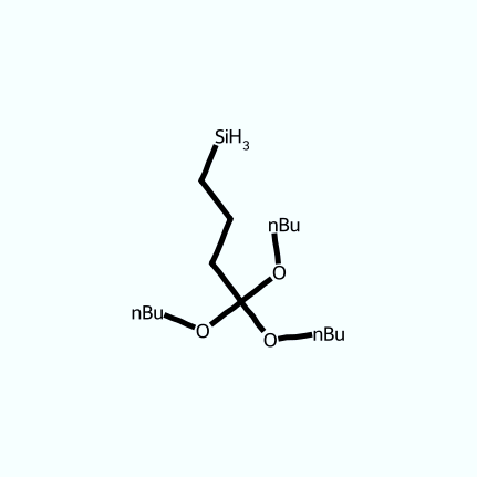 CCCCOC(CCC[SiH3])(OCCCC)OCCCC